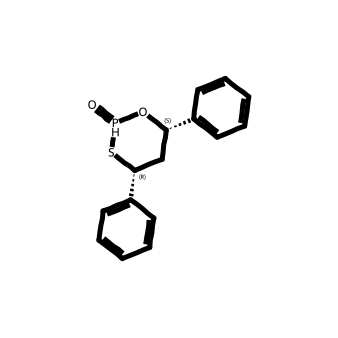 O=[PH]1O[C@H](c2ccccc2)C[C@H](c2ccccc2)S1